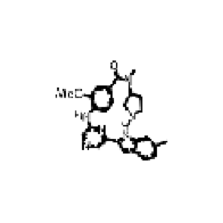 COc1cc(C(=O)N(C)C2CCN(C)C2)ccc1Nc1cncc(-c2cc3ccc(C)cc3[nH]2)n1